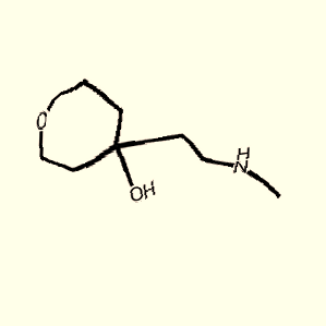 CNCCC1(O)CCOCC1